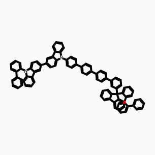 c1ccc(-c2ccccc2-c2ccccc2C2(c3cccc(-c4ccc(-c5ccc(-c6ccc(-n7c8ccccc8c8cc(-c9ccc%10c(c9)c9ccccc9n%10-c9ccccc9-c9ccccc9)ccc87)cc6)cc5)cc4)c3)c3ccccc3-c3ccccc32)cc1